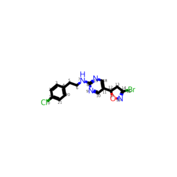 Clc1ccc(CCNc2ncc(C3CC(Br)=NO3)cn2)cc1